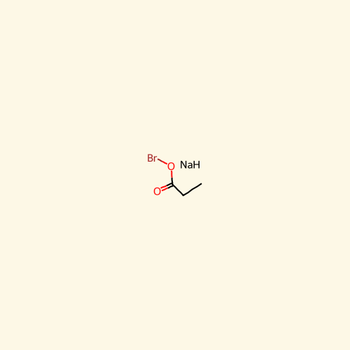 CCC(=O)OBr.[NaH]